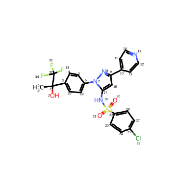 CC(O)(c1ccc(-n2nc(-c3ccncc3)cc2NS(=O)(=O)c2ccc(Cl)cc2)cc1)C(F)(F)F